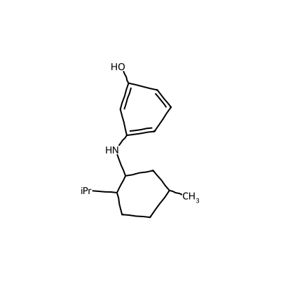 CC1CCC(C(C)C)C(Nc2cccc(O)c2)C1